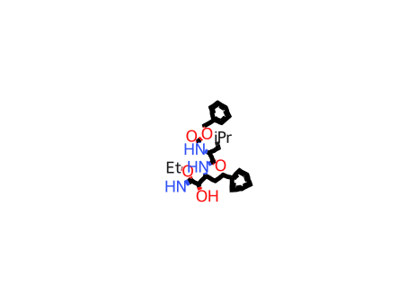 CCOC(=N)C(O)C(CCc1ccccc1)NC(=O)C(CC(C)C)NC(=O)OCc1ccccc1